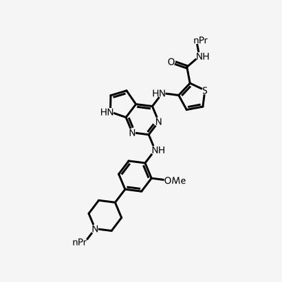 CCCNC(=O)c1sccc1Nc1nc(Nc2ccc(C3CCN(CCC)CC3)cc2OC)nc2[nH]ccc12